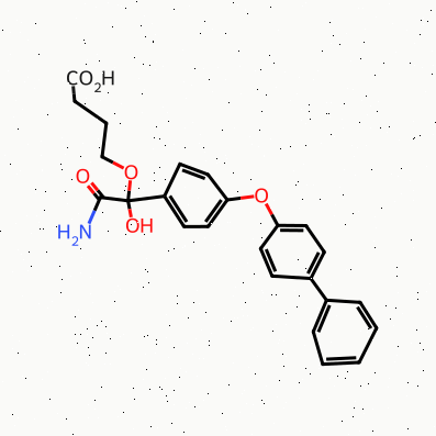 NC(=O)C(O)(OCCCC(=O)O)c1ccc(Oc2ccc(-c3ccccc3)cc2)cc1